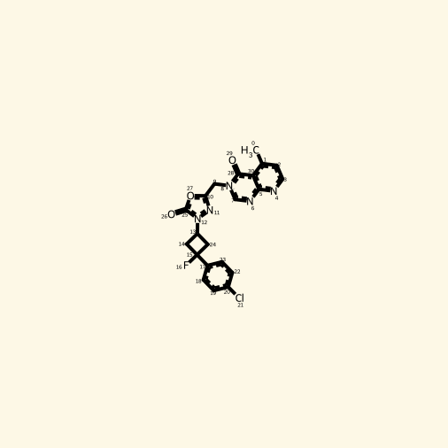 Cc1ccnc2ncn(Cc3nn(C4CC(F)(c5ccc(Cl)cc5)C4)c(=O)o3)c(=O)c12